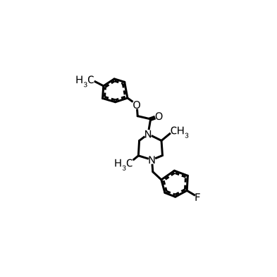 Cc1ccc(OCC(=O)N2CC(C)N(Cc3ccc(F)cc3)CC2C)cc1